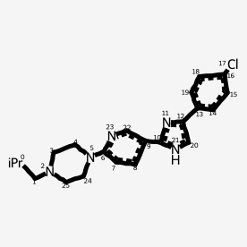 CC(C)CN1CCN(c2ccc(-c3nc(-c4ccc(Cl)cc4)c[nH]3)cn2)CC1